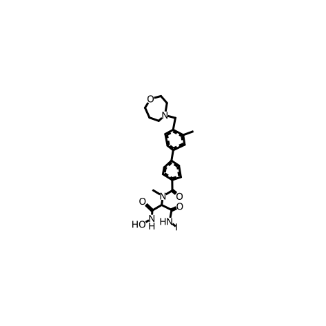 Cc1cc(-c2ccc(C(=O)N(C)C(C(=O)NO)C(=O)NI)cc2)ccc1CN1CCCOCC1